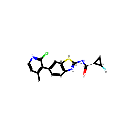 Cc1ccnc(Cl)c1-c1ccc2nc(NC(=O)[C@@H]3CC3F)sc2c1